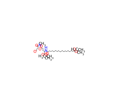 CN(OC(=O)CCC(NC(=O)CCCCCCCCCCCCCCCCC(=O)OC(C)(C)C)C(=O)OC(C)(C)C)C(=O)CCC=O